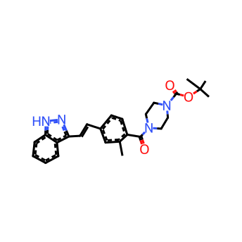 Cc1cc(C=Cc2n[nH]c3ccccc23)ccc1C(=O)N1CCN(C(=O)OC(C)(C)C)CC1